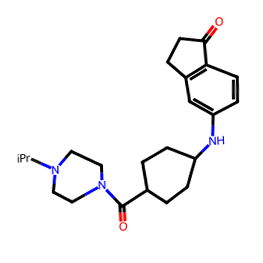 CC(C)N1CCN(C(=O)C2CCC(Nc3ccc4c(c3)CCC4=O)CC2)CC1